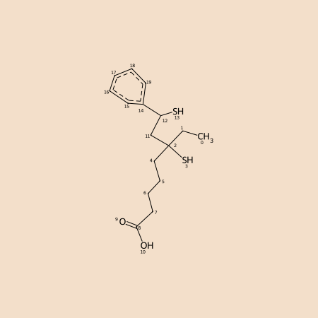 CCC(S)(CCCCC(=O)O)CC(S)c1ccccc1